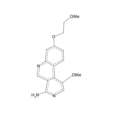 COCCOc1ccc2c(c1)ncc1c(N)ncc(OC)c12